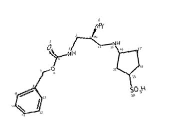 CCC[C@H](CNC(=O)OCc1ccccc1)CNC1CCC(S(=O)(=O)O)C1